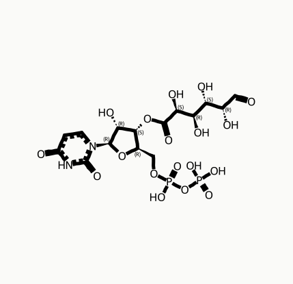 O=C[C@H](O)[C@@H](O)[C@@H](O)[C@H](O)C(=O)O[C@H]1[C@@H](O)[C@H](n2ccc(=O)[nH]c2=O)O[C@@H]1COP(=O)(O)OP(=O)(O)O